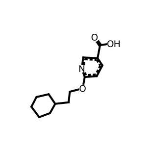 O=C(O)c1ccc(OCCC2CCCCC2)nc1